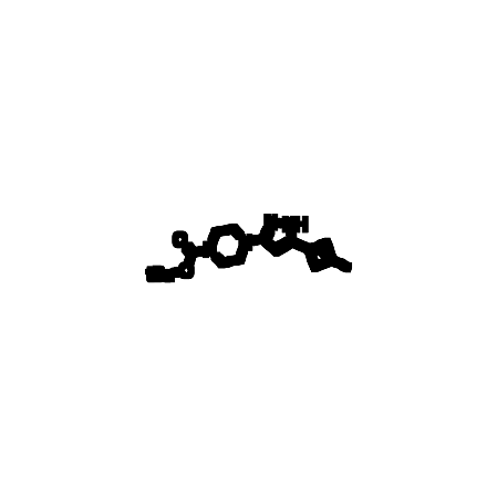 CC12CC(c3cc(N4CCN(C(=O)OC(C)(C)C)CC4)n[nH]3)(C1)C2